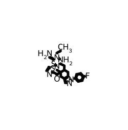 CCCN(N)/C(=C\N)SN1CCC2Cc3c(cnn3-c3ccc(F)cc3)CC2(C(=O)c2nccs2)C1